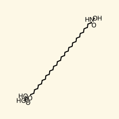 O=C(CCCCCCCCCCCCCCCCCCCCCCCCCCCCCCCOP(=O)(O)O)NO